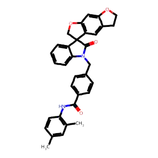 Cc1ccc(NC(=O)c2ccc(CN3C(=O)C4(COc5cc6c(cc54)CCO6)c4ccccc43)cc2)c(C)c1